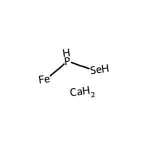 [CaH2].[Fe][PH][SeH]